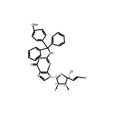 CC[C@@]1(/C=C/Cl)O[C@@H](n2cnc3c(=O)[nH]c(NC(c4ccccc4)(c4ccccc4)c4ccc(OC)cc4)nc32)[C@H](F)[C@@H]1C